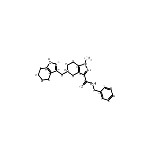 Cn1nc(C(=O)NCc2ccccc2)c2c1CCN(Cc1noc3c1CCCC3)C2